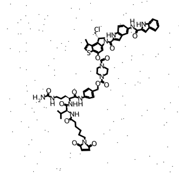 Cc1csc2c(OC(=O)N3CCN(C(=O)OCc4ccc(NC(=O)[C@H](CCCNC(N)=O)NC(=O)[C@@H](NC(=O)CCCCCN5C(=O)C=CC5=O)C(C)C)cc4)CC3)cc3c(c12)[C@H](CCl)CN3C(=O)c1cc2cc(NC(=O)c3cc4ccccc4[nH]3)ccc2[nH]1